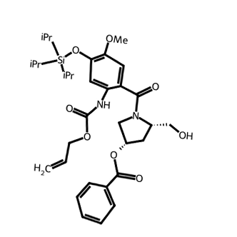 C=CCOC(=O)Nc1cc(O[Si](C(C)C)(C(C)C)C(C)C)c(OC)cc1C(=O)N1C[C@@H](OC(=O)c2ccccc2)C[C@H]1CO